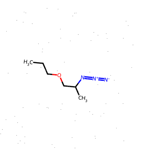 CCCOCC(C)N=[N+]=[N-]